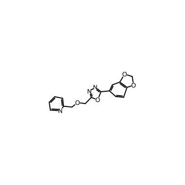 c1ccc(COCc2nnc(-c3ccc4c(c3)OCO4)o2)nc1